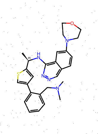 C[C@@H](Nc1nncc2ccc(N3CCOCC3)cc12)c1cc(-c2ccccc2CN(C)C)cs1